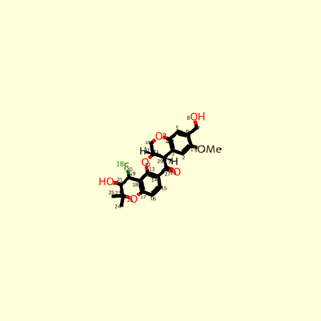 COc1cc2c(cc1CO)OC[C@H]1Oc3c(ccc4c3C([18F])C(O)C(C)(C)O4)C(=O)[C@@H]21